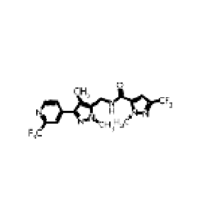 Cc1c(-c2ccnc(C(F)(F)F)c2)nn(C)c1CNC(=O)c1cc(C(F)(F)F)nn1C